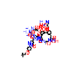 C[C@@H]1NC(=O)[C@@H](N(C)C(=O)[C@H](CNS(N)(=O)=O)NC(=O)c2cnn(-c3ccc(OCCC(C)(C)C)cc3)c(=O)c2)c2cc(OC[C@H](O)CN)c(O)c(c2)-c2cc(ccc2OC[C@H](O)CN)C[C@@H](C(=O)O)NC1=O